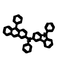 c1ccc(-c2c3ccccc3cc3cc(N(c4ccccc4)c4ccc5c(c4)c4ccccc4n5-c4ccccc4)ccc23)cc1